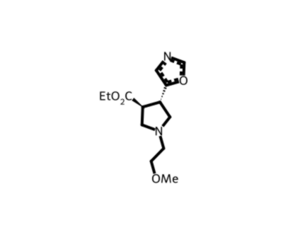 CCOC(=O)[C@@H]1CN(CCOC)C[C@H]1c1cnco1